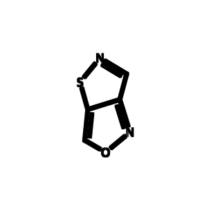 c1nsc2conc12